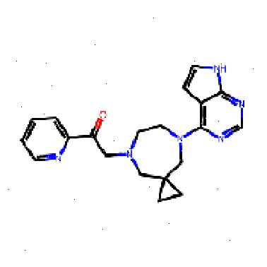 O=C(CN1CCN(c2ncnc3[nH]ccc23)CC2(CC2)C1)c1ccccn1